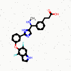 CNC(c1cccc(CCC(=O)O)c1)c1cnc(-c2cccc(Oc3c(F)cc4[nH]ccc4c3F)c2)[nH]1